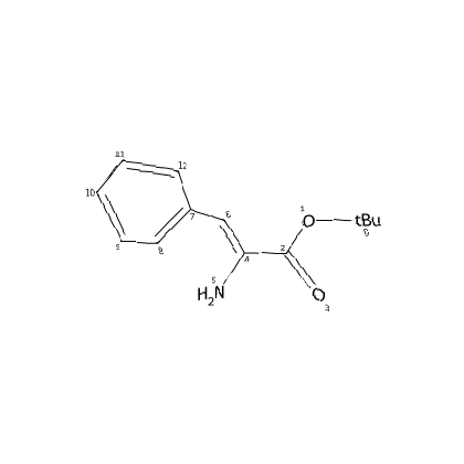 CC(C)(C)OC(=O)C(N)=Cc1ccccc1